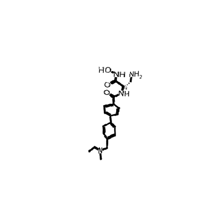 CCN(C)Cc1ccc(-c2ccc(C(=O)N[C@@H](CN)C(=O)NO)cc2)cc1